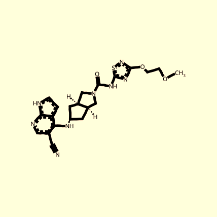 COCCOc1nsc(NC(=O)N2C[C@H]3C[C@H](Nc4c(C#N)cnc5[nH]ccc45)C[C@H]3C2)n1